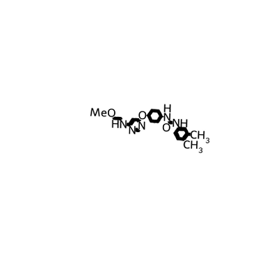 COCCNc1cc(O[C@H]2CC[C@@H](NC(=O)Nc3ccc(C)c(C)c3)CC2)ncn1